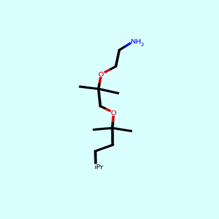 CC(C)CCC(C)(C)OCC(C)(C)OCCN